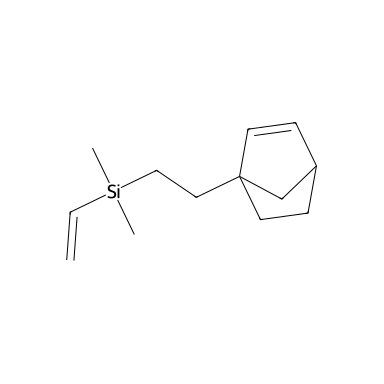 C=C[Si](C)(C)CCC12C=CC(CC1)C2